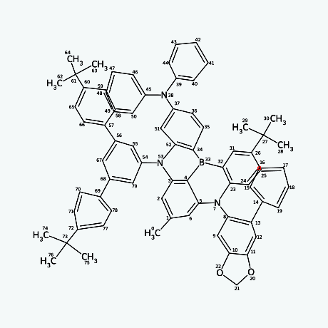 Cc1cc2c3c(c1)N(c1cc4c(cc1-c1ccccc1)OCO4)c1ccc(C(C)(C)C)cc1B3c1ccc(N(c3ccccc3)c3ccccc3)cc1N2c1cc(-c2ccc(C(C)(C)C)cc2)cc(-c2ccc(C(C)(C)C)cc2)c1